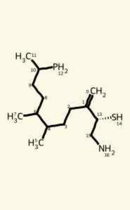 C=C(CCC(C)C(C)CCC(C)P)[C@H](S)CN